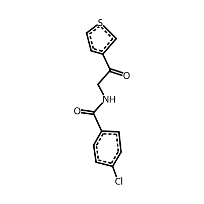 O=C(CNC(=O)c1ccc(Cl)cc1)c1ccsc1